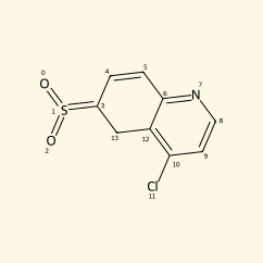 O=S(=O)=C1C=Cc2nccc(Cl)c2C1